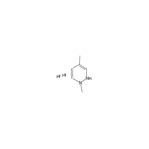 CC1=CNN(C)C=C1.I.I